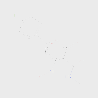 CNC(=O)c1c(NO)cc(-c2ccc(F)cc2)oc1=O